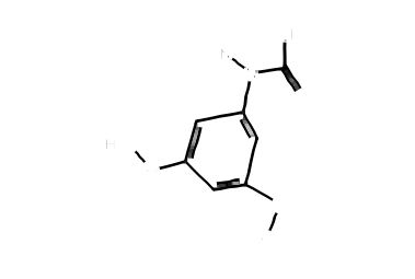 COc1cc(OC)cc(N(N)C(C)=O)c1